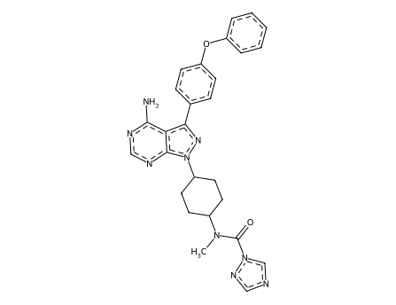 CN(C(=O)n1cncn1)C1CCC(n2nc(-c3ccc(Oc4ccccc4)cc3)c3c(N)ncnc32)CC1